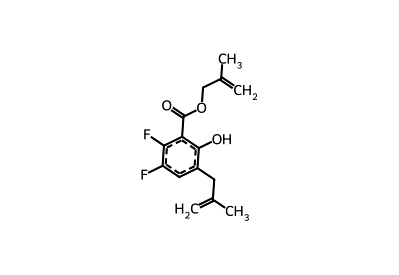 C=C(C)COC(=O)c1c(O)c(CC(=C)C)cc(F)c1F